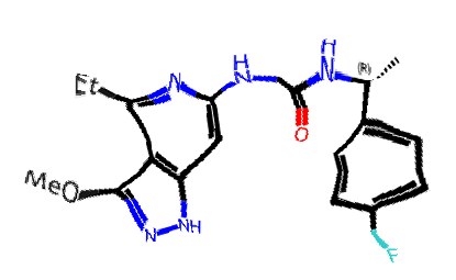 CCc1nc(NC(=O)N[C@H](C)c2ccc(F)cc2)cc2[nH]nc(OC)c12